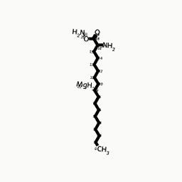 CCCCCCCCCCCCCCCCC(N)C(=O)ON.[MgH2]